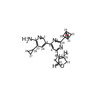 Nc1ncc(-c2cc(N3C[C@@H]4C[C@H]3CO4)nc(N3CC4CC3C4)n2)cc1C1CC1